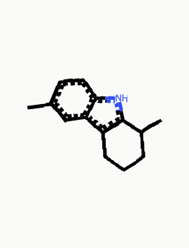 Cc1ccc2[nH]c3c(c2c1)CCCC3C